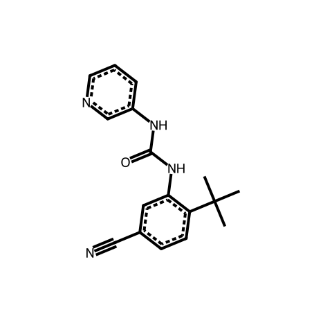 CC(C)(C)c1ccc(C#N)cc1NC(=O)Nc1cccnc1